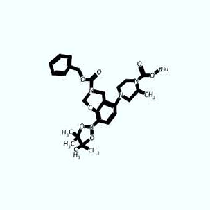 CC1CN(c2ccc(B3OC(C)(C)C(C)(C)O3)c3c2CN(C(=O)OCc2ccccc2)CC3)CCN1C(=O)OC(C)(C)C